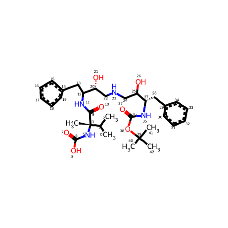 CC(C)[C@](C)(NC(=O)O)C(=O)NC(Cc1ccccc1)[C@H](O)CNCC(O)[C@H](Cc1ccccc1)NC(=O)OC(C)(C)C